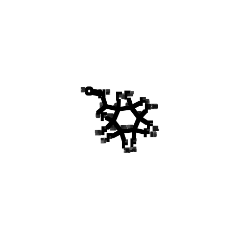 CC(N=O)C1(F)C(F)(F)C(F)(F)C(F)(F)C(F)(F)C1(F)F